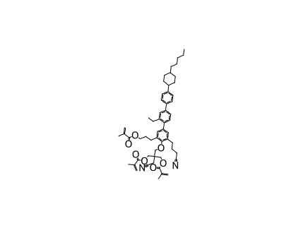 C=C(C)C(=O)OCCCc1cc(-c2ccc(-c3ccc(C4CCC(CCCCC)CC4)cc3)cc2CC)cc(CCCC#N)c1OCC(CC#N)(COC(=O)C(=C)C)COC(=O)C(=C)C